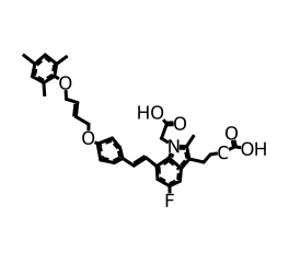 Cc1cc(C)c(OCC=CCOc2ccc(C=Cc3cc(F)cc4c(CCCC(=O)O)c(C)n(CC(=O)O)c34)cc2)c(C)c1